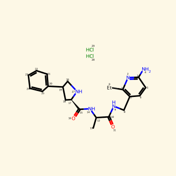 CCc1nc(N)ccc1CNC(=O)C(C)NC(=O)[C@H]1CC(c2ccccc2)CN1.Cl.Cl